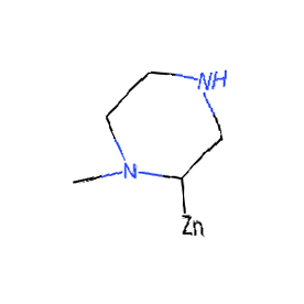 CN1CCNC[CH]1[Zn]